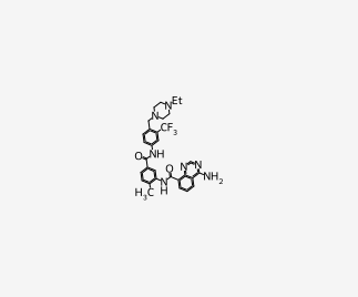 CCN1CCN(Cc2ccc(NC(=O)c3ccc(C)c(NC(=O)c4cccc5c(N)ncnc45)c3)cc2C(F)(F)F)CC1